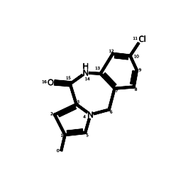 Cc1cc2n(c1)Cc1ccc(Cl)cc1NC2=O